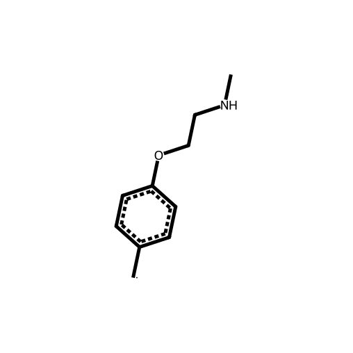 [CH2]c1ccc(OCCNC)cc1